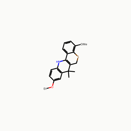 CCOc1ccc2c(c1)C(C)(C)C1=C(N2)c2cccc(OC)c2SC1